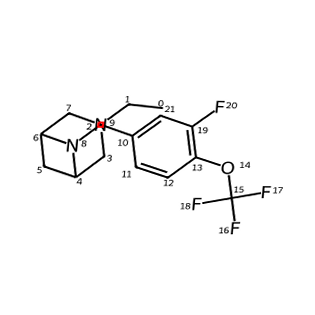 CCN1CC2CC(C1)N2Cc1ccc(OC(F)(F)F)c(F)c1